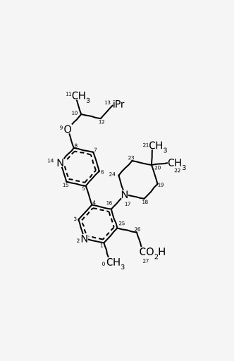 Cc1ncc(-c2ccc(OC(C)CC(C)C)nc2)c(N2CCC(C)(C)CC2)c1CC(=O)O